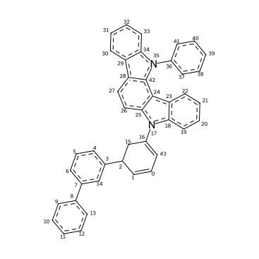 C1=CC(c2cccc(-c3ccccc3)c2)CC(n2c3ccccc3c3c2ccc2c4ccccc4n(-c4ccccc4)c23)=C1